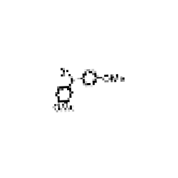 COc1ccc(C(Br)c2ccc(OC)cc2)cc1